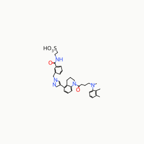 Cc1cccc(N(C)CCCC(=O)N2CCCc3c(-c4cnn(Cc5cccc(C(=O)NCCS(=O)(=O)O)c5)c4)cccc32)c1C